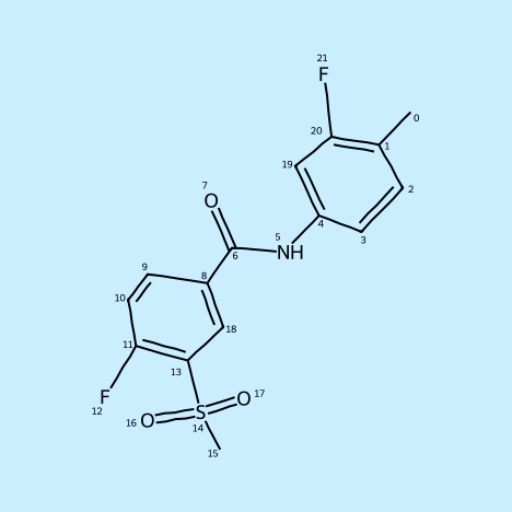 Cc1ccc(NC(=O)c2ccc(F)c(S(C)(=O)=O)c2)cc1F